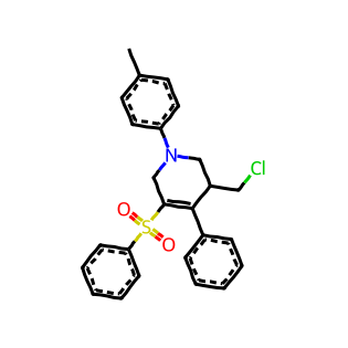 Cc1ccc(N2CC(S(=O)(=O)c3ccccc3)=C(c3ccccc3)C(CCl)C2)cc1